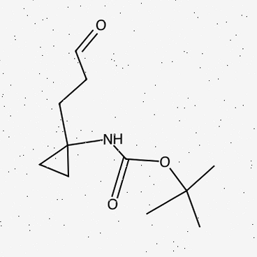 CC(C)(C)OC(=O)NC1(CCC=O)CC1